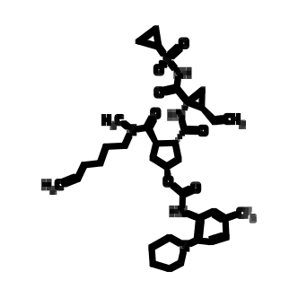 C=CCCCCN(C)C(=O)[C@@H]1C[C@H](OC(=O)Nc2cc(C(F)(F)F)ccc2N2CCCCC2)C[C@H]1C(=O)N[C@]1(C(=O)NS(=O)(=O)C2CC2)C[C@H]1C=C